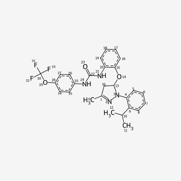 CC1=NN(c2ccccc2C(C)C)C(Oc2ccccc2NC(=O)Nc2ccc(OC(F)(F)F)cc2)C1